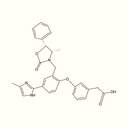 Cc1c[nH]c(-c2ccc(Oc3cccc(CC(=O)O)c3)c(CN3C(=O)O[C@H](c4ccccc4)[C@@H]3C)c2)n1